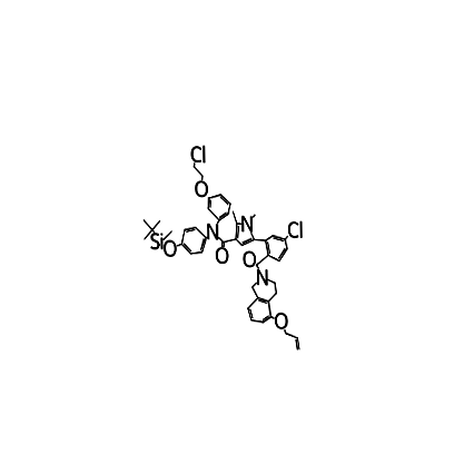 C=CCOc1cccc2c1CCN(C(=O)c1ccc(Cl)cc1-c1cc(C(=O)N(c3ccc(O[Si](C)(C)C(C)(C)C)cc3)c3cccc(OCCCl)c3)c(C)n1C)C2